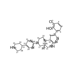 Oc1c(Cl)cccc1-c1cc2c(nn1)NC[C@@H]1CN(c3ncc(C4CCNCC4)cn3)CCN21